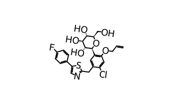 C=CCOc1cc(Cl)c(Cc2ncc(-c3ccc(F)cc3)s2)cc1[C@@H]1O[C@H](CO)[C@@H](O)[C@H](O)[C@H]1O